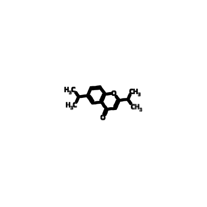 CC(C)c1ccc2oc(C(C)C)cc(=O)c2c1